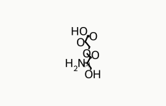 N[C@@H](CO)C(=O)OCC(=O)C(=O)O